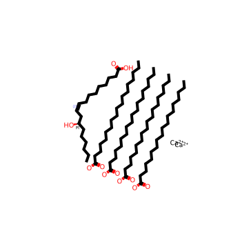 CCCCCCCCCCCCCCCCCC(=O)[O-].CCCCCCCCCCCCCCCCCC(=O)[O-].CCCCCCCCCCCCCCCCCC(=O)[O-].CCCCCCCCCCCCCCCCCC(=O)[O-].CCCCCC[C@@H](O)C/C=C\CCCCCCCC(=O)O.[Ca+2].[Ca+2]